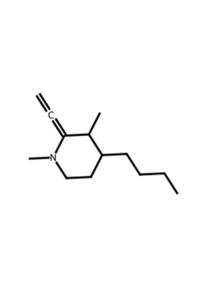 C=C=C1C(C)C(CCCC)CCN1C